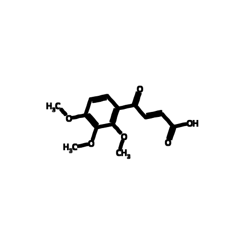 COc1ccc(C(=O)C=CC(=O)O)c(OC)c1OC